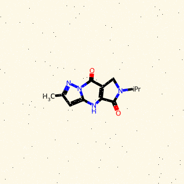 Cc1cc2[nH]c3c(c(=O)n2n1)CN(C(C)C)C3=O